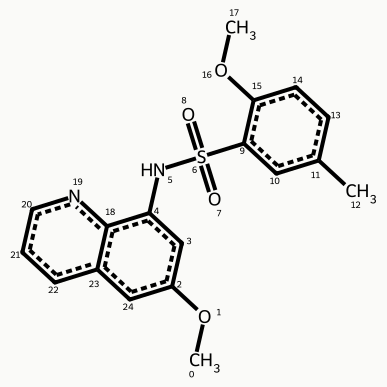 COc1cc(NS(=O)(=O)c2cc(C)ccc2OC)c2ncccc2c1